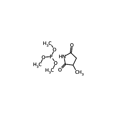 CC1CC(=O)NC1=O.COP(OC)OC